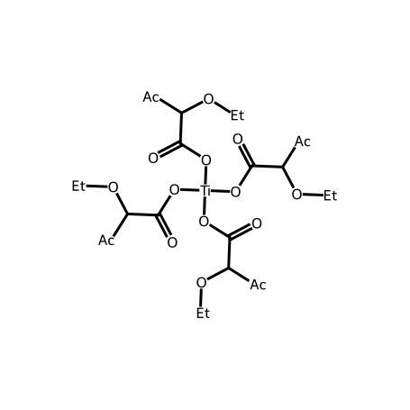 CCOC(C(C)=O)C(=O)[O][Ti]([O]C(=O)C(OCC)C(C)=O)([O]C(=O)C(OCC)C(C)=O)[O]C(=O)C(OCC)C(C)=O